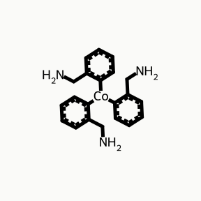 NCc1cccc[c]1[Co]([c]1ccccc1CN)[c]1ccccc1CN